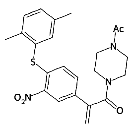 C=C(C(=O)N1CCN(C(C)=O)CC1)c1ccc(Sc2cc(C)ccc2C)c([N+](=O)[O-])c1